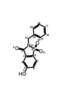 O=C1c2cc(O)ccc2S(=O)(=O)N1Cc1ccccc1